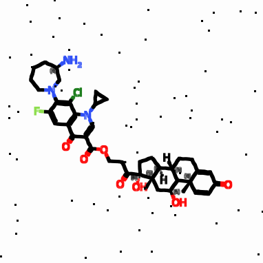 C[C@]12C=CC(=O)C=C1CC[C@@H]1C2[C@@H](O)C[C@@]2(C)[C@H]1CC[C@]2(O)C(=O)[CH]COC(=O)c1cn(C2CC2)c2c(Cl)c(N3CCCC[C@@H](N)C3)c(F)cc2c1=O